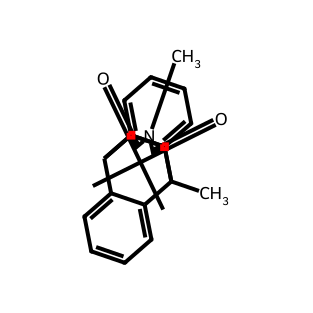 CN1C(=O)C2C3c4ccccc4C(C)(c4ccccc43)C2C1=O